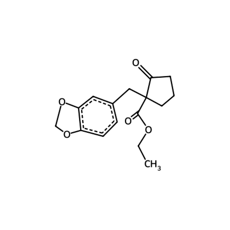 CCOC(=O)C1(Cc2ccc3c(c2)OCO3)CCCC1=O